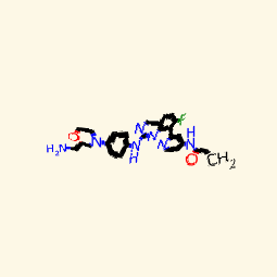 C=CC(=O)Nc1ccnc(-c2c(F)ccc3cnc(Nc4ccc(N5CCOC(CN)C5)cc4)nc23)c1